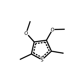 COc1c(C)sc(C)c1OC